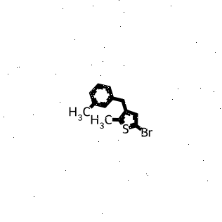 Cc1cccc(Cc2cc(Br)sc2C)c1